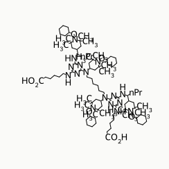 CCCC(Nc1nc(NCCCCCC(=O)O)nc(N(CCCCCCN(c2nc(NCCCCCC(=O)O)nc(NC(CCC)C3CC(C)(C)N(OC4CCCCC4)C(C)(C)C3)n2)C2CC(C)(C)N(OC3CCCCC3)C(C)(C)C2)C2CC(C)(C)N(OC3CCCCC3)C(C)(C)C2)n1)C1CC(C)(C)N(OC2CCCCC2)C(C)(C)C1